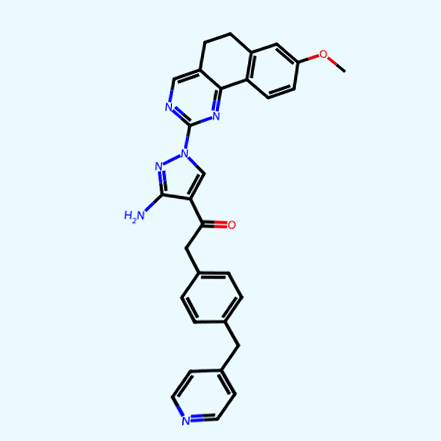 COc1ccc2c(c1)CCc1cnc(-n3cc(C(=O)Cc4ccc(Cc5ccncc5)cc4)c(N)n3)nc1-2